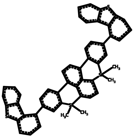 C[Si]1(C)c2cc(-c3cccc4sc5ccccc5c34)ccc2-c2ccc3c4c(ccc1c24)[Si](C)(C)c1cc(-c2cccc4sc5ccccc5c24)ccc1-3